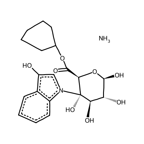 N.O=C(OC1CCCCC1)[C@H]1O[C@@H](O)[C@H](O)[C@@H](O)[C@@]1(O)n1cc(O)c2ccccc21